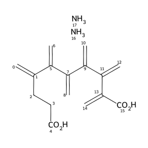 C=C(CCC(=O)O)C(=C)C(=C)C(=C)C(=C)C(=C)C(=O)O.N.N